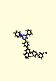 N#Cc1cccc(-c2ccc(-c3cc(-c4ccc(C5=NC(c6ccccc6)NC(c6ccccc6)=N5)cc4)cc4ccccc34)cc2)c1